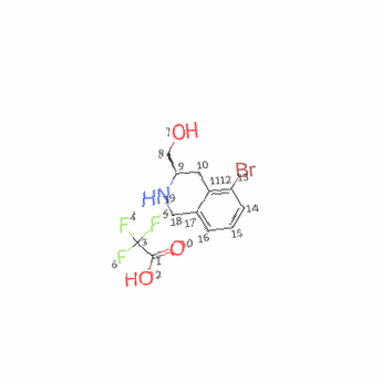 O=C(O)C(F)(F)F.OC[C@H]1Cc2c(Br)cccc2CN1